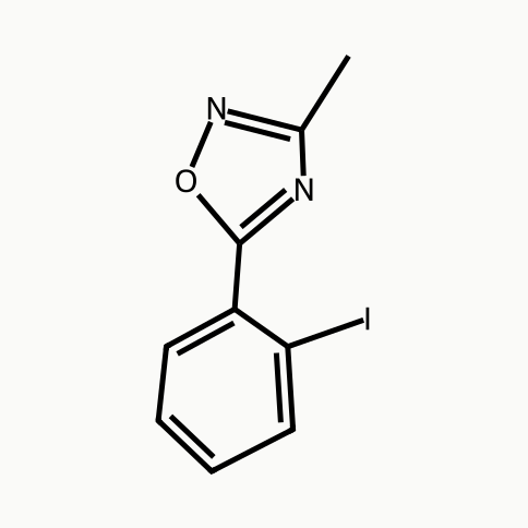 Cc1noc(-c2ccccc2I)n1